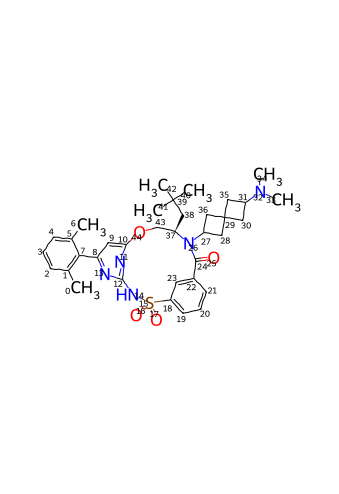 Cc1cccc(C)c1-c1cc2nc(n1)NS(=O)(=O)c1cccc(c1)C(=O)N(C1CC3(CC(N(C)C)C3)C1)[C@H](CC(C)(C)C)CO2